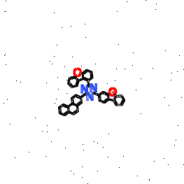 c1ccc2c(c1)ccc1cc(-c3nc(-c4ccc5c(c4)oc4ccccc45)nc(-c4cccc5oc6ccccc6c45)n3)ccc12